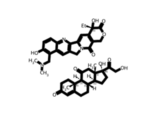 CC[C@@]1(O)C(=O)OCc2c1cc1n(c2=O)Cc2cc3c(CN(C)C)c(O)ccc3nc2-1.C[C@]12CCC(=O)C=C1CC[C@@H]1[C@@H]2C(=O)C[C@@]2(C)[C@H]1CC[C@]2(O)C(=O)CO